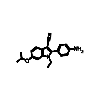 CCn1c(-c2ccc(N)cc2)c(C#N)c2ccc(OC(C)C)cc21